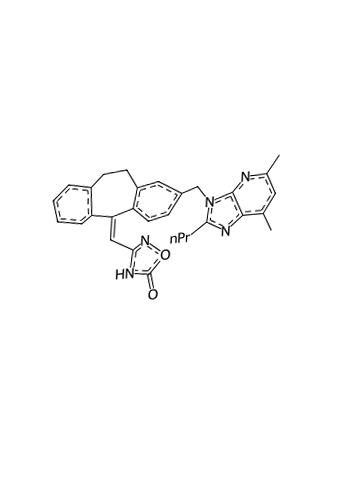 CCCc1nc2c(C)cc(C)nc2n1Cc1ccc2c(c1)CCc1ccccc1/C2=C/c1noc(=O)[nH]1